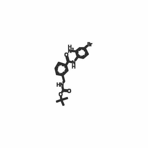 CC(C)(C)OC(=O)NCc1cccc(C(=O)Nc2ccc(Br)cc2N)c1